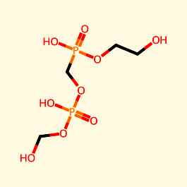 O=P(O)(COP(=O)(O)OCO)OCCO